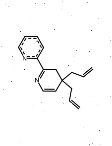 C=CCC1(CC=C)C=CN=C(c2ccccn2)C1